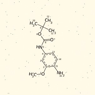 COc1cc(NC(=O)OC(C)(C)C)ccc1N